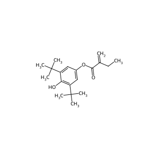 C=C(CC)C(=O)Oc1cc(C(C)(C)C)c(O)c(C(C)(C)C)c1